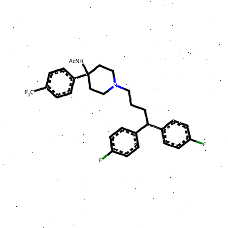 CC(=O)NC1(c2ccc(C(F)(F)F)cc2)CCN(CCCC(c2ccc(F)cc2)c2ccc(F)cc2)CC1